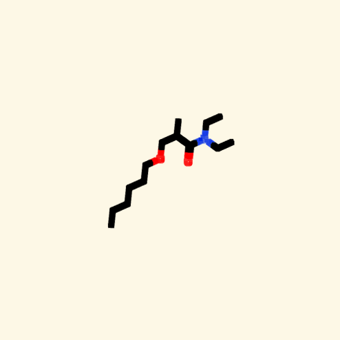 CCCCCCOCC(C)C(=O)N(CC)CC